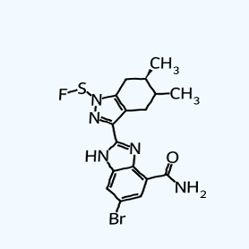 CC1Cc2c(-c3nc4c(C(N)=O)cc(Br)cc4[nH]3)nn(SF)c2C[C@H]1C